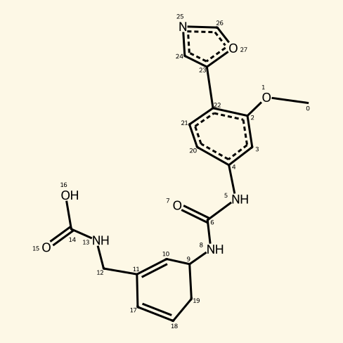 COc1cc(NC(=O)NC2C=C(CNC(=O)O)C=CC2)ccc1-c1cnco1